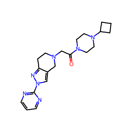 O=C(CN1CCc2nn(-c3ncccn3)cc2C1)N1CCN(C2CCC2)CC1